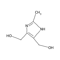 Cc1nc(CO)c(CO)[nH]1